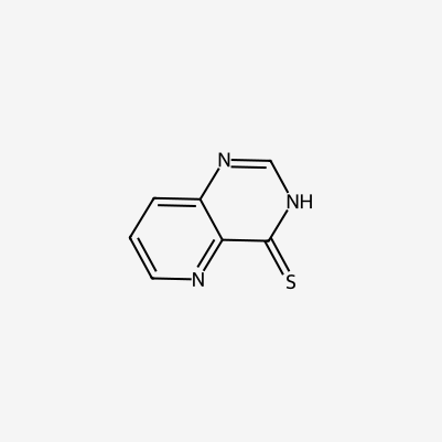 S=c1[nH]cnc2cccnc12